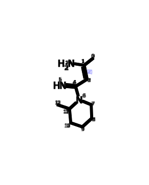 C/C(N)=C/C(=N)N1CCCCC1C